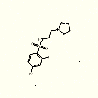 O=S(=O)(NCCN1CCCC1)c1ccc(Br)cc1F